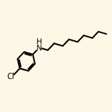 CCCCCCCCCNc1ccc(Cl)cc1